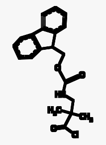 CC(C)(CNC(=O)OCC1c2ccccc2-c2ccccc21)C(=O)Cl